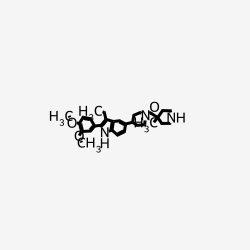 CCc1c(-c2ccc(OC)c(OC)c2)[nH]c2ccc(C3CCN(C(=O)C4(C)CCNCC4)CC3)cc12